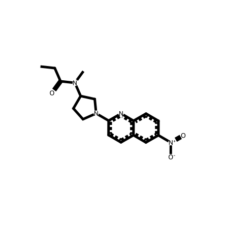 CCC(=O)N(C)C1CCN(c2ccc3cc([N+](=O)[O-])ccc3n2)C1